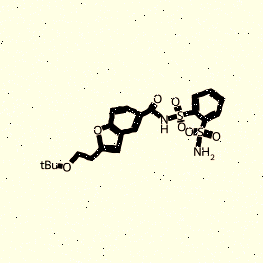 CC(C)(C)OCCc1cc2cc(C(=O)NS(=O)(=O)c3ccccc3S(N)(=O)=O)ccc2o1